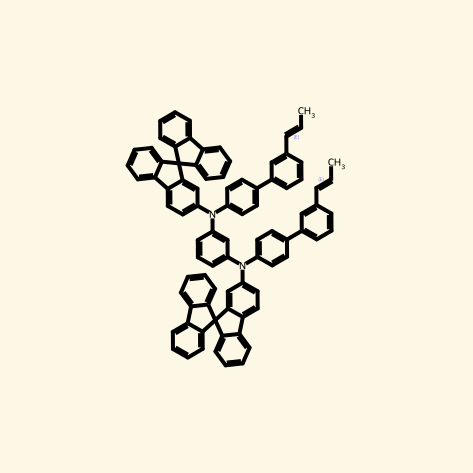 C/C=C/c1cccc(-c2ccc(N(c3cccc(N(c4ccc(-c5cccc(/C=C/C)c5)cc4)c4ccc5c(c4)C4(c6ccccc6-c6ccccc64)c4ccccc4-5)c3)c3ccc4c(c3)C3(c5ccccc5-c5ccccc53)c3ccccc3-4)cc2)c1